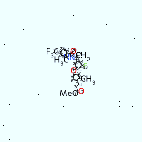 COC(=O)CCc1ccc(Oc2cc(F)cc(C(C)NC(=O)c3ccc(C(F)(F)F)cc3C)c2)cc1C